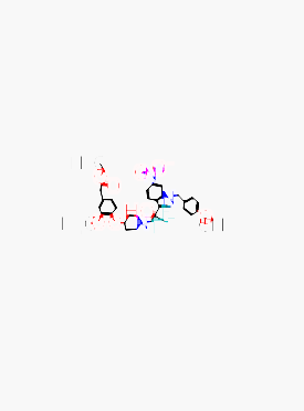 CCOC(=O)Cc1ccc(OC2CCN(CC(O)(c3cn(Cc4ccc(OC)cc4)c4cc([N+](=O)[O-])ccc34)C(F)(F)F)CC2)c(OC)c1